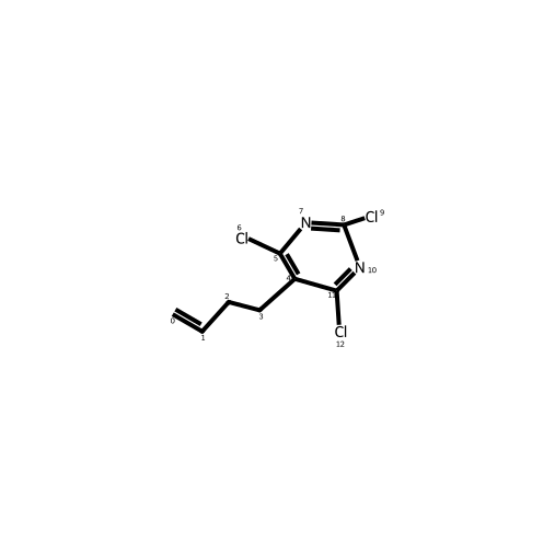 C=CCCc1c(Cl)nc(Cl)nc1Cl